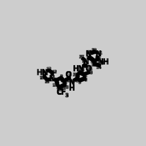 Cc1ccc(NC(=O)c2cc(N3CCNCC3)cc(C(F)(F)F)c2)cc1NC(=O)N(C)c1ncnc2[nH]ccc12